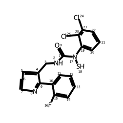 O=C(NCc1cccnc1-c1ccccc1F)N(S)c1cccc(Cl)c1Cl